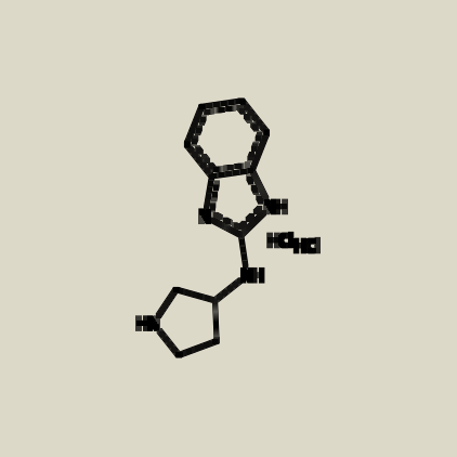 Cl.Cl.c1ccc2[nH]c(NC3CCNC3)nc2c1